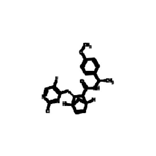 COc1ccc([C@@H](C)NC(=O)C2[C@@H]3C=C[C@@H](C3)[C@@H]2Cc2nc(Cl)ncc2F)cc1